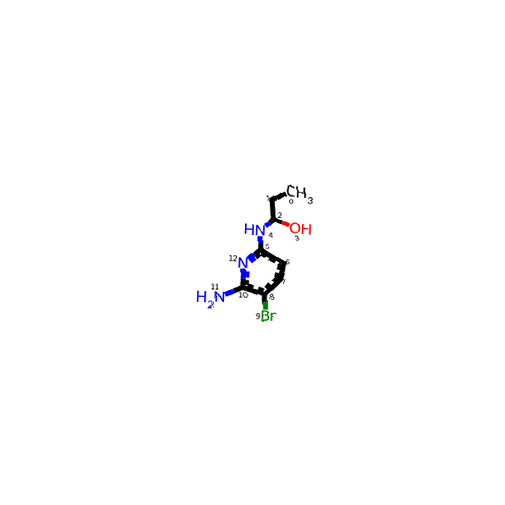 C[CH]C(O)Nc1ccc(Br)c(N)n1